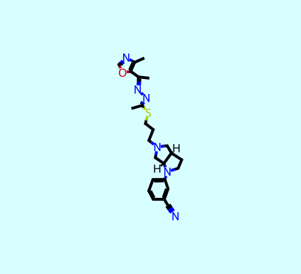 C/C(=N\N=C(/C)c1ocnc1C)SCCCN1C[C@@H]2CCN(c3cccc(C#N)c3)[C@@H]2C1